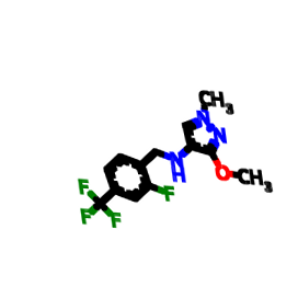 COc1nn(C)cc1NCc1ccc(C(F)(F)F)cc1F